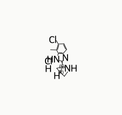 Cc1c(Cl)ccc2nc([C@]34C[C@H]3CCN4)[nH]c12.Cl